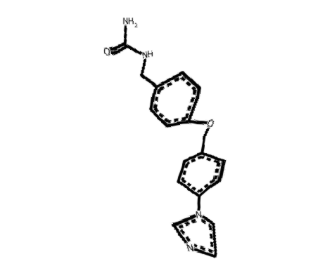 NC(=O)NCc1ccc(Oc2ccc(-n3ccnc3)cc2)cc1